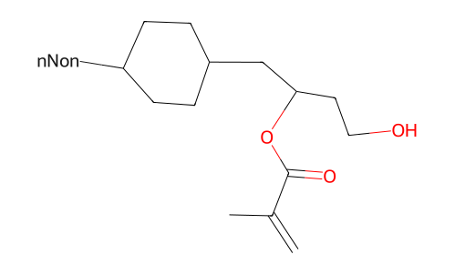 C=C(C)C(=O)OC(CCO)CC1CCC(CCCCCCCCC)CC1